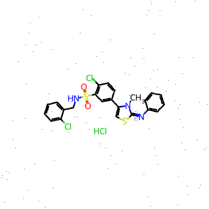 Cl.Cn1c(-c2ccc(Cl)c(S(=O)(=O)NCc3ccccc3Cl)c2)cs/c1=N/c1ccccc1